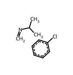 C=NC(C)C.Clc1ccccc1